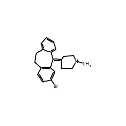 CN1CCC(=C2c3ccccc3CCc3ccc(Br)cc32)CC1